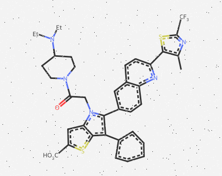 CCN(CC)C1CCN(C(=O)Cn2c(-c3ccc4nc(-c5sc(C(F)(F)F)nc5C)ccc4c3)c(-c3ccccc3)c3sc(C(=O)O)cc32)CC1